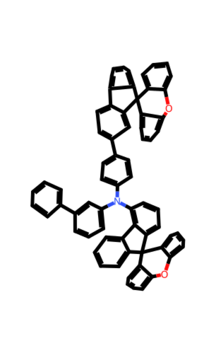 c1ccc(-c2cccc(N(c3ccc(-c4ccc5c(c4)C4(c6ccccc6Oc6ccccc64)c4ccccc4-5)cc3)c3cccc4c3-c3ccccc3C43c4ccccc4Oc4ccccc43)c2)cc1